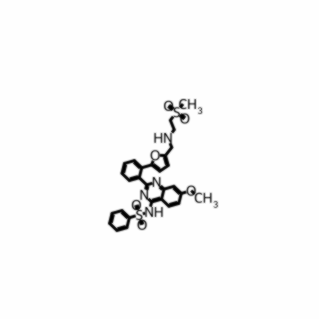 COc1ccc2c(NS(=O)(=O)c3ccccc3)nc(-c3ccccc3-c3ccc(CNCCS(C)(=O)=O)o3)nc2c1